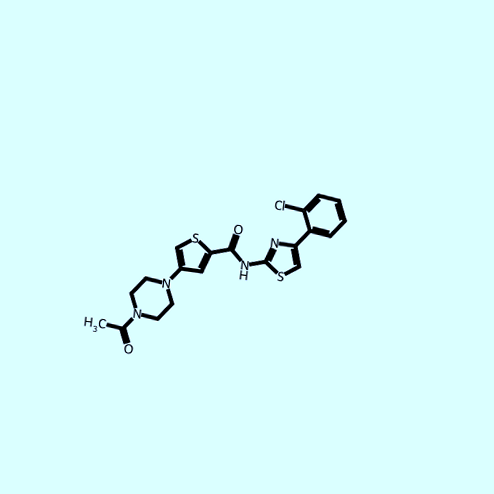 CC(=O)N1CCN(c2csc(C(=O)Nc3nc(-c4ccccc4Cl)cs3)c2)CC1